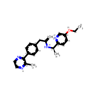 C=C(Cc1ccc(-c2nccnc2C)cc1)N[C@H](C)c1ccc(OCC(F)(F)F)cn1